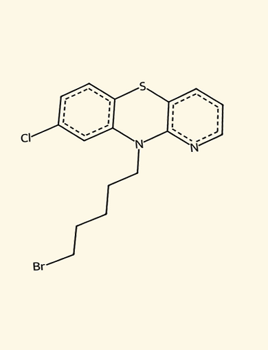 Clc1ccc2c(c1)N(CCCCCBr)c1ncccc1S2